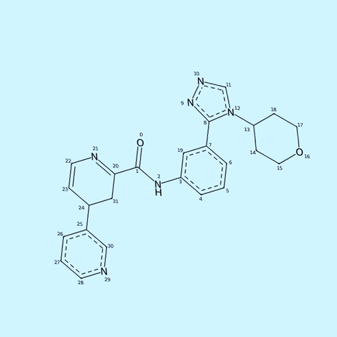 O=C(Nc1cccc(-c2nncn2C2CCOCC2)c1)C1=NC=CC(c2cccnc2)C1